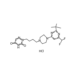 CC(C)(C)c1nc(C(F)F)cc(N2CCN(CCCCn3ncc(=O)[nH]c3=O)CC2)n1.Cl